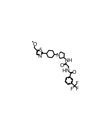 COCc1cnc(C2CCC(N3CCC(NC(=O)CNC(=O)c4cccc(C(F)(F)F)c4)C3)CC2)s1